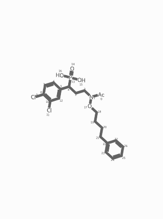 CC(=O)N(CCC(c1ccc(Cl)c(Cl)c1)P(=O)(O)O)OCCCCc1ccccc1